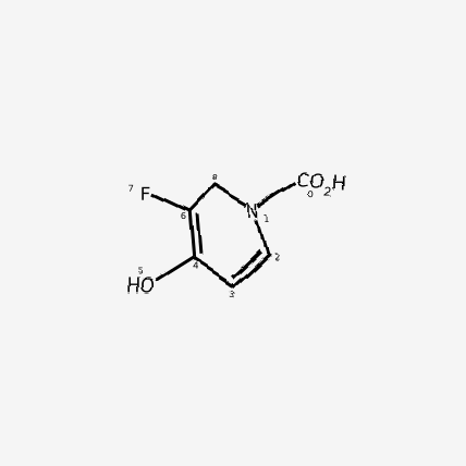 O=C(O)N1C=CC(O)=C(F)C1